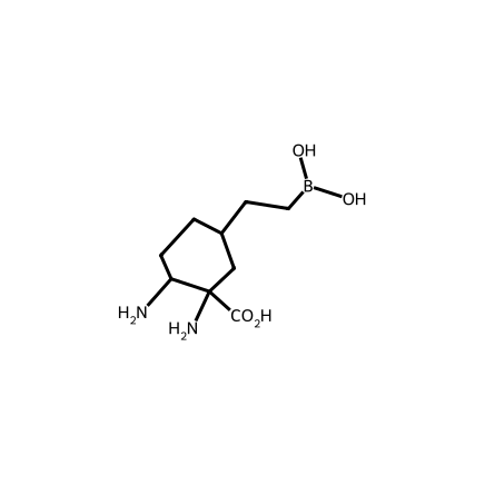 NC1CCC(CCB(O)O)CC1(N)C(=O)O